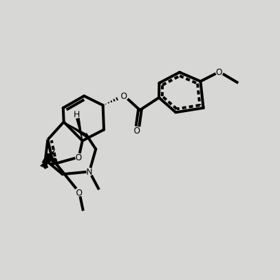 COc1ccc(C(=O)O[C@H]2C=C[C@@]34CCN(C)Cc5ccc(OC)c(c53)O[C@H]4C2)cc1